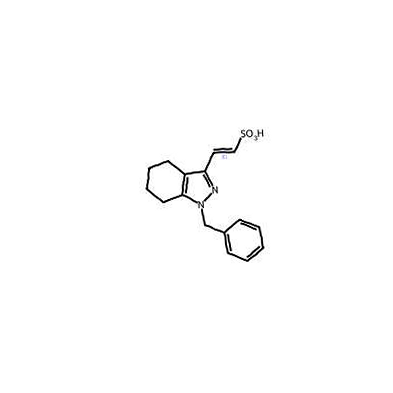 O=S(=O)(O)/C=C/c1nn(Cc2ccccc2)c2c1CCCC2